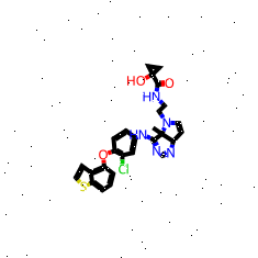 CC12C(Nc3ccc(Oc4cccc5sccc45)c(Cl)c3)=NC=NC1C=CN2CCNC(=O)C1(O)CC1